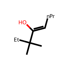 CCC/C=C(\O)C(C)(C)CC